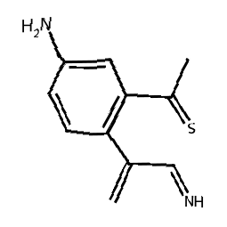 C=C(C=N)c1ccc(N)cc1C(C)=S